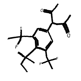 CCC(C)(C)c1c(C(C)(F)F)cc(C(C(C)=O)C(C)=O)cc1C(C)(F)F